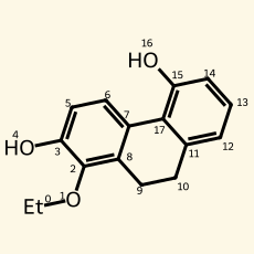 CCOc1c(O)ccc2c1CCc1cccc(O)c1-2